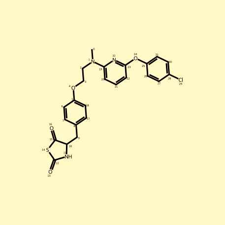 CN(CCOc1ccc(CC2NC(=O)SC2=O)cc1)c1cccc(Oc2ccc(Cl)cc2)n1